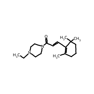 CCN1CCN(C(=O)C=CC2=C(C)CCCC2(C)C)CC1